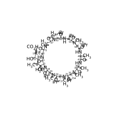 CC[C@H]1NC(=O)C([C@@H](O)[C@@H](C)CC(O)C#CC(=O)O)N(C)C(=O)[C@@H](C(C)C)N(C)C(=O)[C@@H](CC(C)C)N(C)C(=O)[C@@H](CC(C)C)N(C)C(=O)[C@@H](C)NC(=O)[C@@H](C)NC(=O)[C@@H](CC(C)C)N(C)C(=O)[C@@H](C(C)C)NC(=O)[C@@H](CC(C)C)N(C)C(=O)CN(C)C1=O